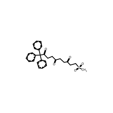 CS(=O)(=O)CCC(=O)CCC(=O)CCC(=O)C(c1ccccc1)(c1ccccc1)c1ccccc1